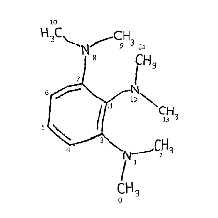 CN(C)c1[c]ccc(N(C)C)c1N(C)C